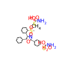 C.CS(=O)(=O)c1ccccc1-c1nc(-c2ccccc2)oc1-c1ccccc1.NC(O)=S.NC(O)=S.O.O